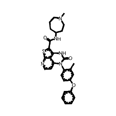 Cc1cc(Oc2ccccc2)ccc1N1C(=O)Nc2c(C(=O)NC3CCCN(C)CC3)sc3nccc1c23